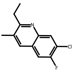 CCc1nc2cc(Cl)c(F)cc2cc1C